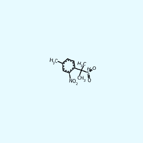 Cc1ccc(C(C)(C)[SH](=O)=O)c([N+](=O)[O-])c1